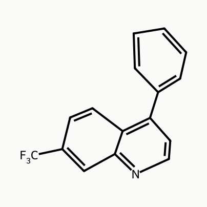 FC(F)(F)c1ccc2c(-c3ccccc3)ccnc2c1